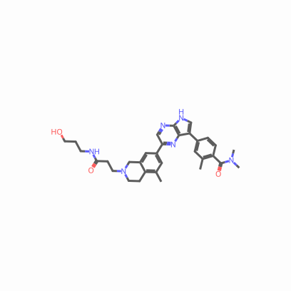 Cc1cc(-c2c[nH]c3ncc(-c4cc(C)c5c(c4)CN(CCC(=O)NCCCO)CC5)nc23)ccc1C(=O)N(C)C